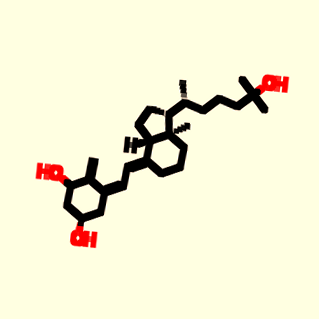 C=C1/C(=C\C=C2/CCC[C@]3(C)[C@@H]([C@H](C)CCCC(C)(C)O)CC[C@@H]23)C[C@@H](O)CC1O